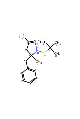 C=C(C)CC(C)(Cc1ccccc1)NSC(C)(C)C